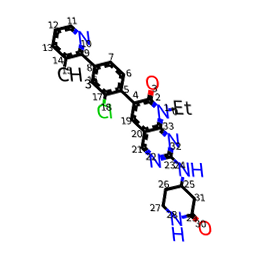 CCn1c(=O)c(-c2ccc(-c3ncccc3C)cc2Cl)cc2cnc(NC3CCNC(=O)C3)nc21